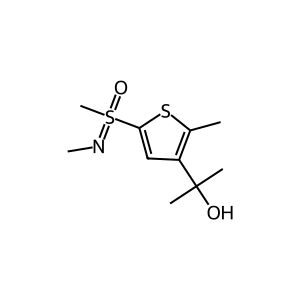 CN=S(C)(=O)c1cc(C(C)(C)O)c(C)s1